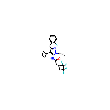 Cn1nc(Cc2ccccc2F)c(C2CCC2)c1NC(=O)C[C@@H]1CC(F)(F)C1(F)F